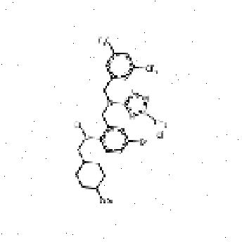 CCN(CC1CCC(OC(C)=O)CC1)c1ccc(Br)cc1CN(Cc1cc(C(F)(F)F)cc(C(F)(F)F)c1)c1nnn(C)n1.Cl